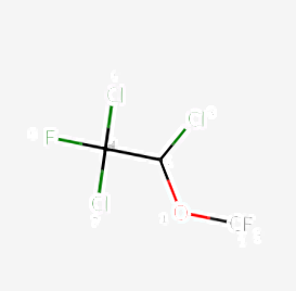 FC(F)(F)OC(Cl)C(F)(Cl)Cl